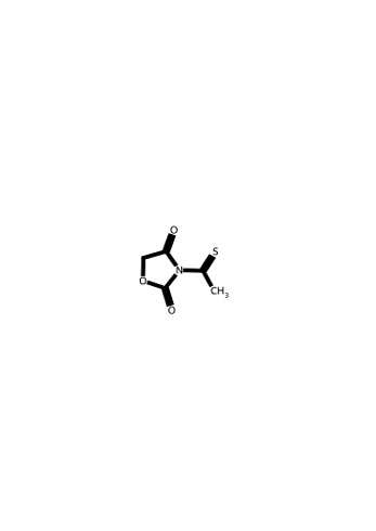 CC(=S)N1C(=O)COC1=O